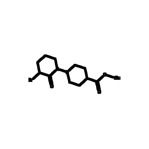 CC(C)(C)OC(=O)C1CCN(N2CCCC(Br)C2=O)CC1